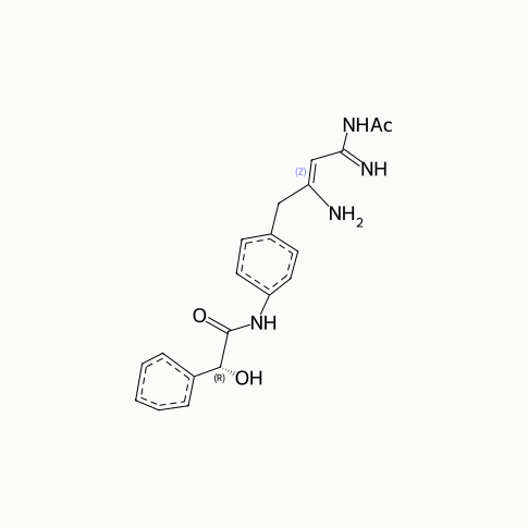 CC(=O)NC(=N)/C=C(\N)Cc1ccc(NC(=O)[C@H](O)c2ccccc2)cc1